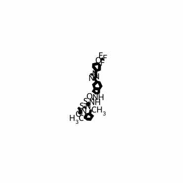 CCc1cccc(C)c1N1C(=O)CS/C1=N\C(=S)NC(=O)NC1Cc2ccc(-c3ncn(-c4ccc(OC(F)(F)F)cc4)n3)cc2C1